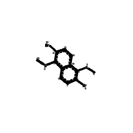 CSc1c(Br)ccc2c(SC)c(Br)ccc12